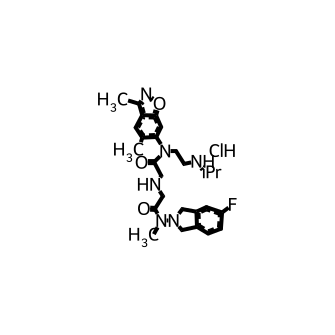 Cc1cc2c(C)noc2cc1N(CCNC(C)C)C(=O)CNCC(=O)N(C)N1Cc2ccc(F)cc2C1.Cl